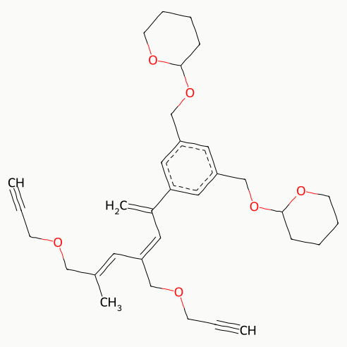 C#CCOC/C(C)=C/C(=C\C(=C)c1cc(COC2CCCCO2)cc(COC2CCCCO2)c1)COCC#C